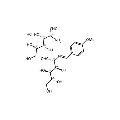 COc1ccc(C=N[C@@H](C=O)[C@@H](O)[C@H](O)[C@H](O)CO)cc1.Cl.N[C@@H](C=O)[C@@H](O)[C@H](O)[C@H](O)CO